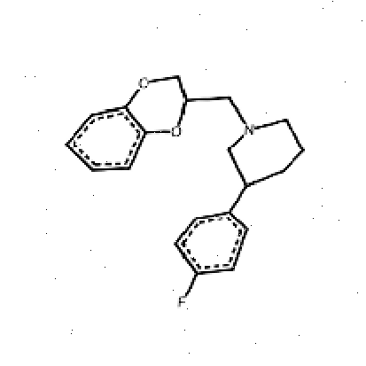 Fc1ccc(C2CCCN(CC3COc4ccccc4O3)C2)cc1